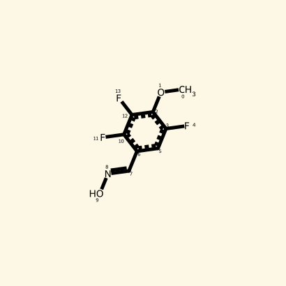 COc1c(F)cc(C=NO)c(F)c1F